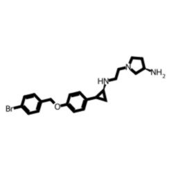 N[C@@H]1CCN(CCN[C@H]2CC2c2ccc(OCc3ccc(Br)cc3)cc2)C1